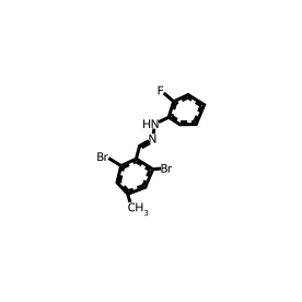 Cc1cc(Br)c(C=NNc2ccccc2F)c(Br)c1